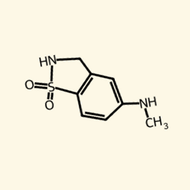 CNc1ccc2c(c1)CNS2(=O)=O